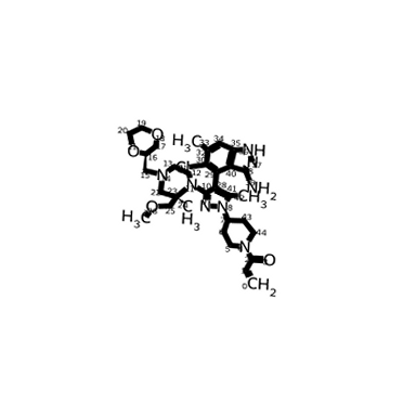 C=CC(=O)N1CCC(n2nc(N3CCN(C[C@@H]4COCCO4)C[C@]3(C)COC)c(-c3c(Cl)c(C)cc4[nH]nc(N)c34)c2C)CC1